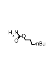 CCCCCCCOC(N)=O